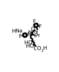 CC(C)c1c(C(=O)N(C)Cc2ccc(F)cc2F)nn(-c2ccc(F)cc2)c1CC[C@@H](O)C[C@@H](O)CC(=O)O.[NaH]